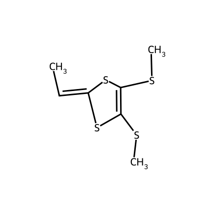 CC=C1SC(SC)=C(SC)S1